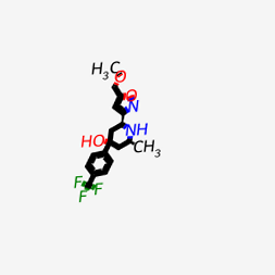 COCc1cc([C@@H]2CC(O)(c3ccc(C(F)(F)F)cc3)C[C@H](C)N2)no1